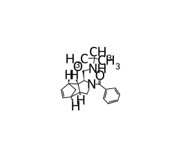 CC(C)(C)NC(=O)[C@@H]1[C@@H]2[C@H](CN1C(=O)c1ccccc1)[C@@H]1C=C[C@H]2C1